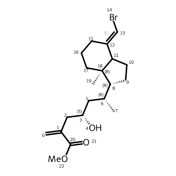 C=C(C[C@@H](O)C[C@@H](C)[C@H]1CCC2/C(=C/Br)CCC[C@@]21C)C(=O)OC